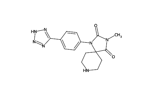 CN1C(=O)N(c2ccc(-c3nn[nH]n3)cc2)C2(CCNCC2)C1=O